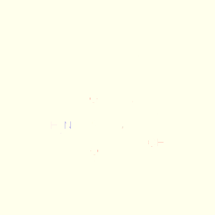 NS(=O)(=O)CC1(CO)CCCC1